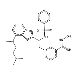 CN(C)CCN(C)c1cccc2nc(C(Cc3cccc(C(=N)NO)c3)NS(=O)(=O)c3ccccc3)sc12